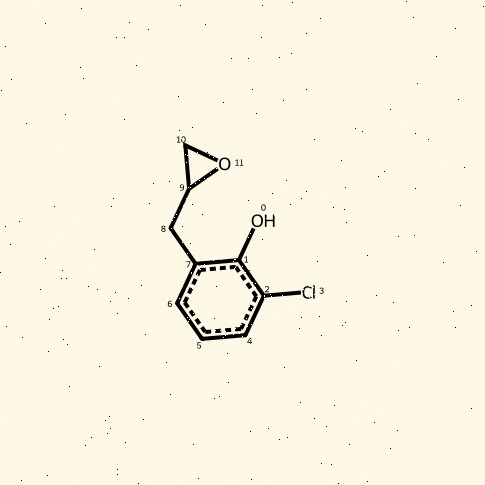 Oc1c(Cl)cccc1CC1CO1